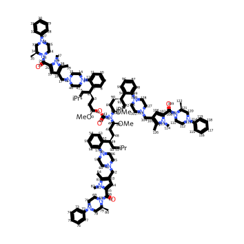 CO[C@H](CC[C@@H](CC(C)C)c1ccccc1N1CCN(Cc2cc(C(=O)N3CCN(c4ccccc4)C[C@@H]3C)n(C)c2C)CC1)OC(=O)N([C@H](CC[C@@H](CC(C)C)c1ccccc1N1CCN(Cc2cc(C(=O)N3CCN(c4ccccc4)C[C@@H]3C)n(C)c2C)CC1)OC)[C@H](CC[C@@H](CC(C)C)c1ccccc1N1CCN(Cc2cc(C(=O)N3CCN(c4ccccc4)C[C@@H]3C)n(C)c2C)CC1)OC